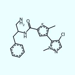 Cc1sc(C(=O)NC(CN)Cc2ccccc2)cc1-c1c(Cl)cnn1C